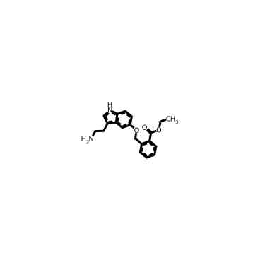 CCOC(=O)c1ccccc1COc1ccc2[nH]cc(CCN)c2c1